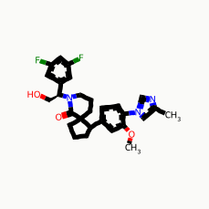 COc1cc(C2CCCC23CCCN([C@@H](CO)c2cc(F)cc(F)c2)C3=O)ccc1-n1cnc(C)c1